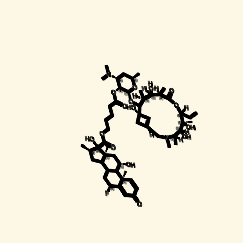 CC[C@H]1OC(=O)[C@H](C)[C@@H](O)[C@H](C)C(O[C@@H]2O[C@H](C)C[C@@H](N(C)C)[C@H]2OC(=O)CCCCOC(=O)[C@@]2(O)[C@H](C)CC3C4C[C@H](F)C5=CC(=O)C=C[C@]5(C)C4[C@@H](O)C[C@@]32C)[C@]2(O)C[C@H](CN(C)[C@H](C)[C@@H](O)[C@]1(C)O)C2